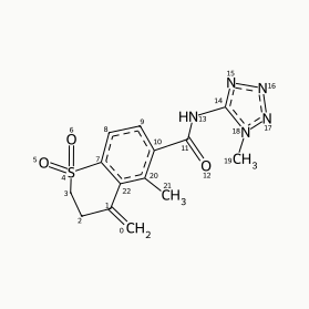 C=C1CCS(=O)(=O)c2ccc(C(=O)Nc3nnnn3C)c(C)c21